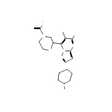 Cc1nc2cc([C@H]3CC[C@H](C(F)(F)F)CC3)nn2c(C2CN(C(=O)OC(C)(C)C)CCO2)c1C